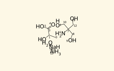 CC(O)C(=O)O.NC(CO)(CO)CO.O.[AlH3].[NaH]